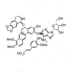 COc1cc(/C=C/C(=O)O)ccc1O.COc1cc2c(cc1O)CC[n+]1cc3c(OC)c(OC)ccc3cc1-2.Nc1ncnc2c1ncn2[C@@H]1O[C@H](CO)[C@@H](O)[C@H]1O.O=C1NCCc2cc3c(cc21)OCO3